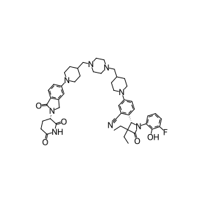 CCC1(CC)C(=O)N(c2cccc(F)c2O)[C@H]1c1ccc(N2CCC(CN3CCN(CC4CCN(c5ccc6c(c5)CN([C@H]5CCC(=O)NC5=O)C6=O)CC4)CC3)CC2)cc1C#N